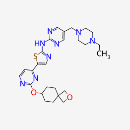 CCN1CCN(Cc2cnc(Nc3ncc(-c4ccnc(OC5CCC6(CC5)COC6)n4)s3)nc2)CC1